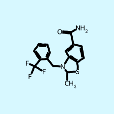 CC1Sc2ccc(C(N)=O)cc2N1Cc1ccccc1C(F)(F)F